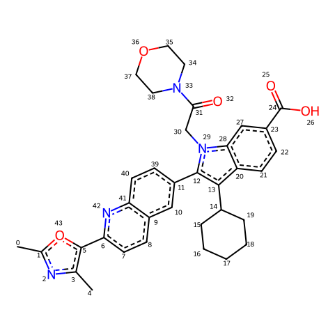 Cc1nc(C)c(-c2ccc3cc(-c4c(C5CCCCC5)c5ccc(C(=O)O)cc5n4CC(=O)N4CCOCC4)ccc3n2)o1